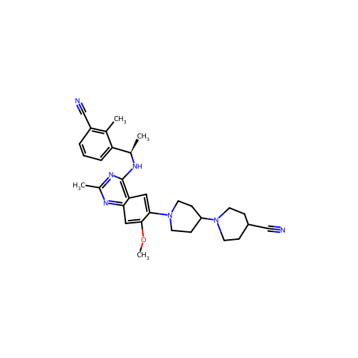 COc1cc2nc(C)nc(N[C@H](C)c3cccc(C#N)c3C)c2cc1N1CCC(N2CCC(C#N)CC2)CC1